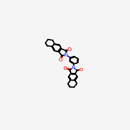 O=C1c2cc3c(cc2C(=O)N1c1cccc(N2C(=O)c4cc5c(cc4C2=O)CCCC5)c1)CCCC3